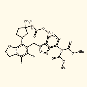 CC(C)(C)OC(=O)N[C@]1(C(=O)O)CCN(c2c(Cn3cnc4c(N(C(=O)OC(C)(C)C)C(=O)OC(C)(C)C)ncnc43)c(Br)c(F)c3c2OCC3)C1